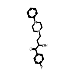 O=C(c1ccc(F)cc1)C(O)CCN1CCN(c2ccccc2)CC1